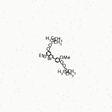 CCOc1cc(OCOCC[Si](C)(C)C)cc(C=Cc2ccc(OCOCC[Si](C)(C)C)c(OC)c2)c1Br